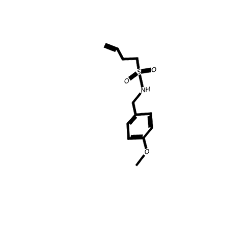 C=CCCS(=O)(=O)NCc1ccc(OC)cc1